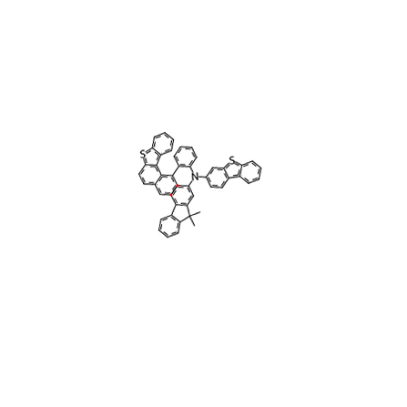 CC1(C)c2ccccc2-c2ccc(N(c3ccc4c(c3)sc3ccccc34)c3ccccc3-c3cccc4ccc5sc6ccccc6c5c34)cc21